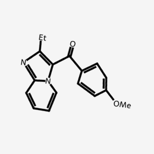 CCc1nc2ccccn2c1C(=O)c1ccc(OC)cc1